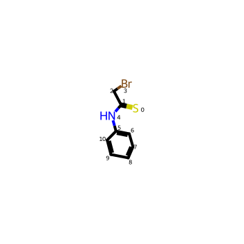 S=C(CBr)Nc1ccccc1